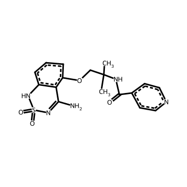 CC(C)(COc1cccc2c1C(N)=NS(=O)(=O)N2)NC(=O)c1ccncc1